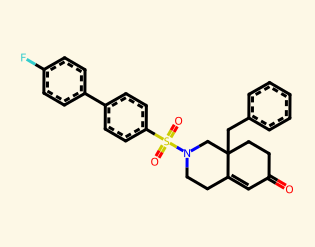 O=C1C=C2CCN(S(=O)(=O)c3ccc(-c4ccc(F)cc4)cc3)CC2(Cc2ccccc2)CC1